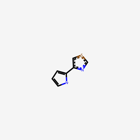 C1=C[N]C(c2cscn2)=C1